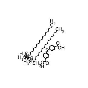 CCCCCCCCCCCCCCCC[N+](C)(C)C.CCCCCCCCCCCCCCCC[N+](C)(C)C.O=C(O)c1ccc(Sc2ccc(C(=O)O)cc2)cc1